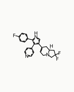 Fc1ccc(-c2[nH]cc(C3=CCN4CC(F)(F)C[C@@H]4C3)c2-c2ccncc2)cc1